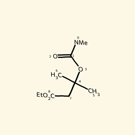 [CH2]NC(=O)OC(C)(C)CC(=O)OCC